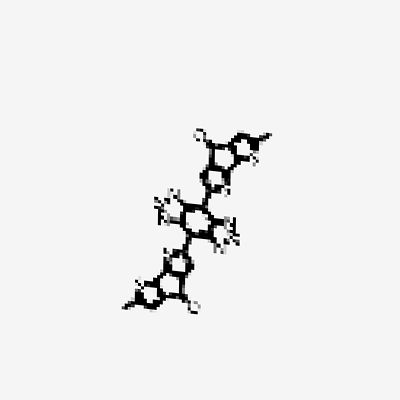 Cc1cc2c(s1)-c1sc(-c3c4c(c(-c5cc6c(s5)-c5sc(C)cc5C6=O)c5nsnc35)N=S=N4)cc1C2=O